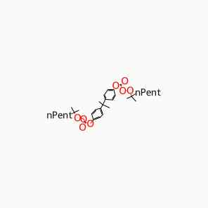 CCCCCC(C)(C)OOC(=O)Oc1ccc(C(C)(C)c2ccc(OC(=O)OOC(C)(C)CCCCC)cc2)cc1